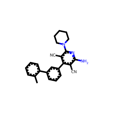 Cc1ccccc1-c1cccc(-c2c(C#N)c(N)nc(N3CCCCC3)c2C#N)c1